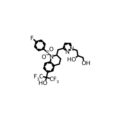 O=S(=O)(c1ccc(F)cc1)N1c2ccc(C(O)(C(F)(F)F)C(F)(F)F)cc2CCC1Cc1ccn(CC(O)CO)n1